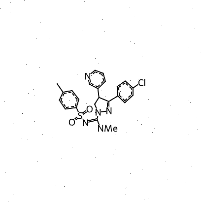 CNC(=NS(=O)(=O)c1ccc(C)cc1)N1CC(c2cccnc2)C(c2ccc(Cl)cc2)=N1